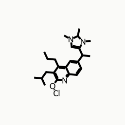 CCCc1c(CC(C)C)c(OCl)nc2ccc(C(C)C3=CN(C)C(C)N3C)cc12